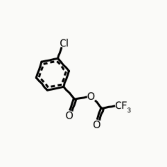 O=C(OC(=O)C(F)(F)F)c1cccc(Cl)c1